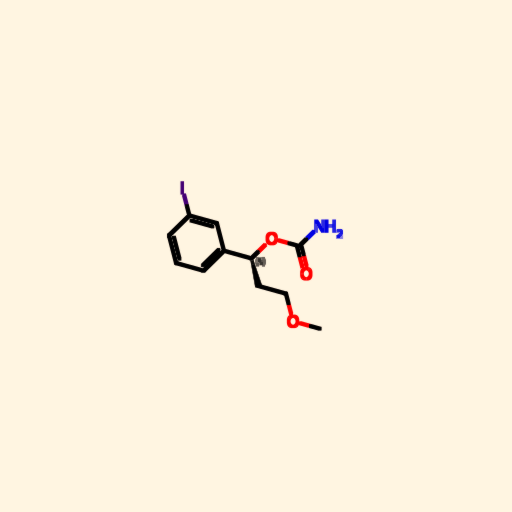 COCC[C@H](OC(N)=O)c1cccc(I)c1